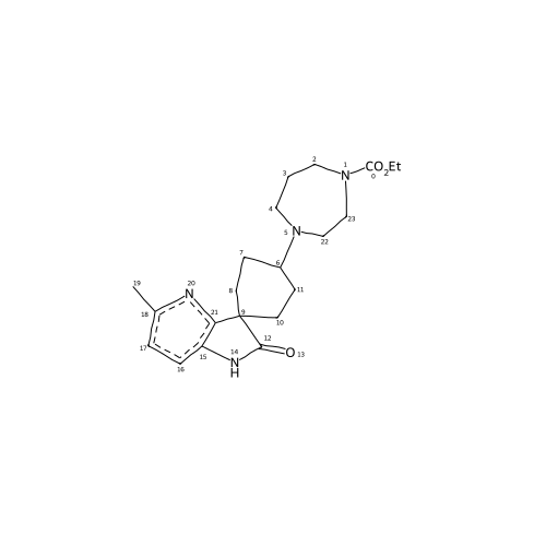 CCOC(=O)N1CCCN(C2CCC3(CC2)C(=O)Nc2ccc(C)nc23)CC1